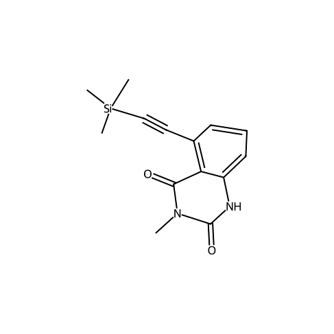 Cn1c(=O)[nH]c2cccc(C#C[Si](C)(C)C)c2c1=O